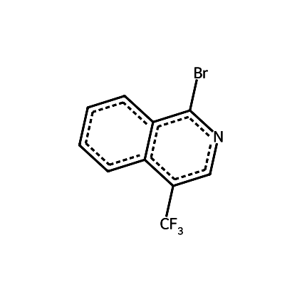 FC(F)(F)c1cnc(Br)c2ccccc12